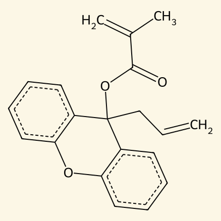 C=CCC1(OC(=O)C(=C)C)c2ccccc2Oc2ccccc21